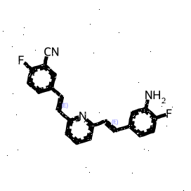 N#Cc1cc(/C=C/c2cccc(/C=C/c3ccc(F)c(N)c3)n2)ccc1F